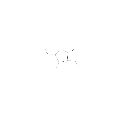 B[C@@H]1O[C@H](CO)C(O)[C@]1(O)CF